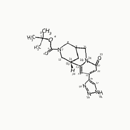 CC(C)(C)OC(=O)N1CC2C[C@@H](C1)c1cc(-c3c[nH]nn3)cc(=O)n1C2